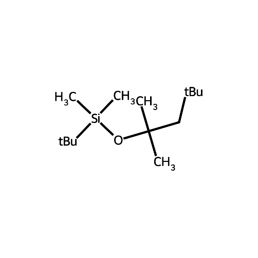 CC(C)(C)CC(C)(C)O[Si](C)(C)C(C)(C)C